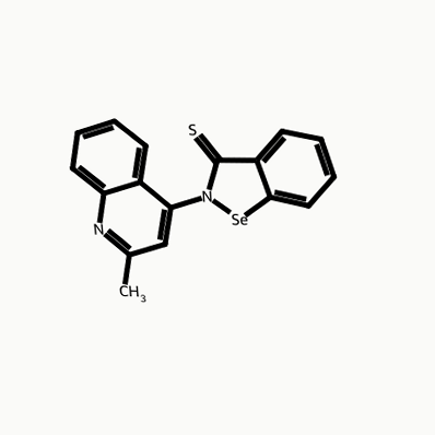 Cc1cc(-n2[se]c3ccccc3c2=S)c2ccccc2n1